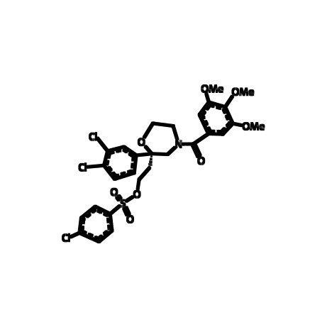 COc1cc(C(=O)N2CCO[C@](CCOS(=O)(=O)c3ccc(Cl)cc3)(c3ccc(Cl)c(Cl)c3)C2)cc(OC)c1OC